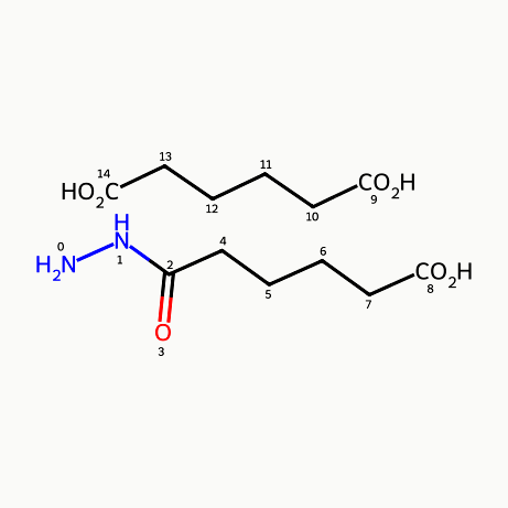 NNC(=O)CCCCC(=O)O.O=C(O)CCCCC(=O)O